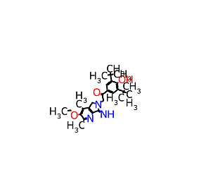 CCOc1c(C)nc2c(c1C)CN(CC(=O)c1cc(C(C)(C)C)c(O)c(C(C)(C)C)c1)C2=N